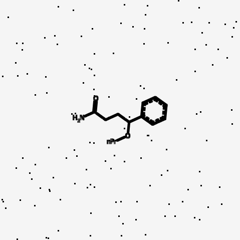 CCCOC(CCC(N)=O)c1ccccc1